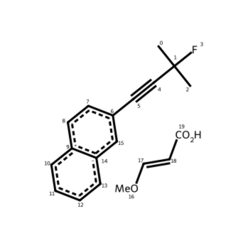 CC(C)(F)C#Cc1ccc2ccccc2c1.COC=CC(=O)O